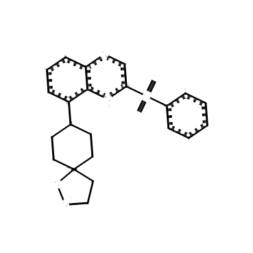 O=S(=O)(c1ccccc1)c1cnc2cccc(C3CCC4(CCNN4)CC3)c2n1